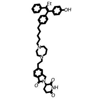 CC/C(=C(\c1ccc(O)cc1)c1ccc(CCCCCN2CCCN(CCc3ccc4c(c3)CN(C3CCC(=O)NC3=O)C4=O)CC2)cc1)c1ccccc1